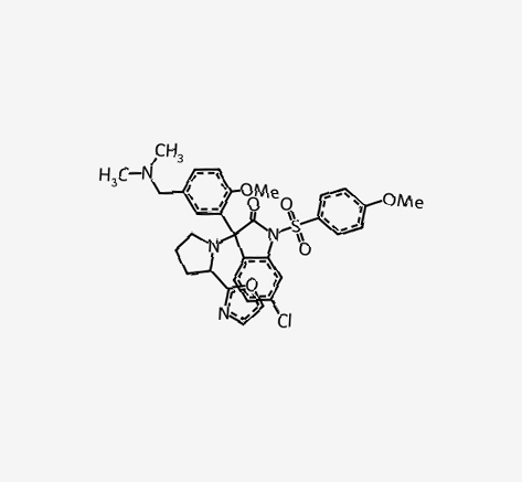 COc1ccc(S(=O)(=O)N2C(=O)C(c3cc(CN(C)C)ccc3OC)(N3CCCC3c3ncco3)c3ccc(Cl)cc32)cc1